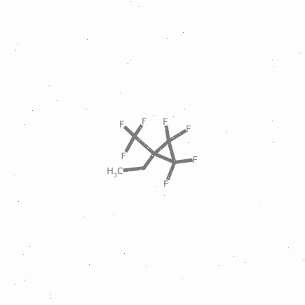 CCC1(C(F)(F)F)C(F)(F)C1(F)F